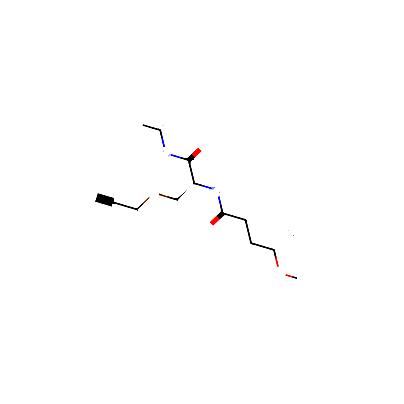 C#CCSC[C@H](NC(=O)CC[C@H](N)OC=O)C(=O)NCC(=O)O